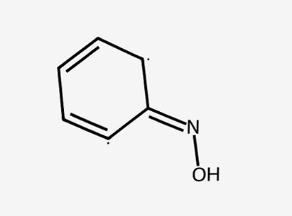 ON=C1[C]=CC=C[CH]1